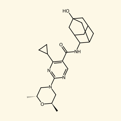 C[C@@H]1CN(c2ncc(C(=O)NC3C4CC5CC3CC(O)(C5)C4)c(C3CC3)n2)C[C@@H](C)O1